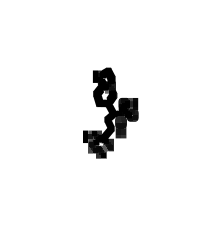 O=P(O)(O)C(CCc1nnn[nH]1)c1ccc2nccn2c1